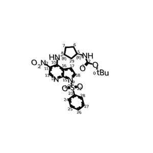 CC(C)(C)OC(=O)N[C@@H]1CC[C@@H](Nc2c([N+](=O)[O-])cnc3c2ccn3S(=O)(=O)c2ccccc2)C1